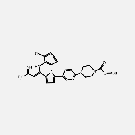 CC(C)(C)OC(=O)N1CCN(c2ccc(-c3ccc(/C(=C/C(=N)C(F)(F)F)Nc4ccccc4Cl)s3)cn2)CC1